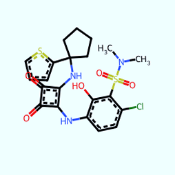 CN(C)S(=O)(=O)c1c(Cl)ccc(Nc2c(NC3(c4cccs4)CCCC3)c(=O)c2=O)c1O